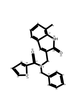 Cc1cccc2cc(CN(Cc3ccccc3)C(=O)c3ccco3)c(=O)[nH]c12